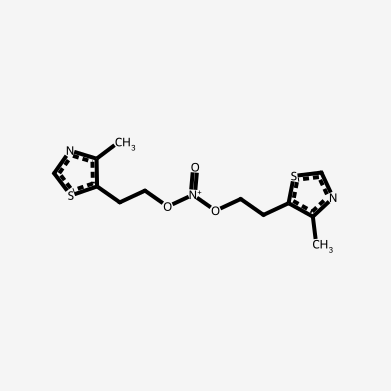 Cc1ncsc1CCO[N+](=O)OCCc1scnc1C